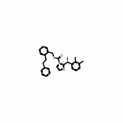 Cc1cccc([C@H](C)c2nccn2C(=O)OCc2ccccc2CCc2ccccc2)c1C